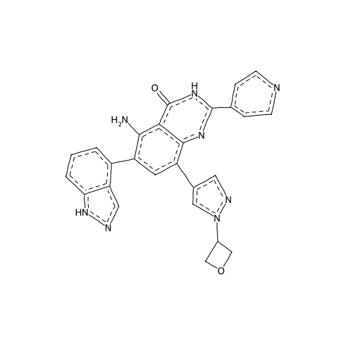 Nc1c(-c2cccc3[nH]ncc23)cc(-c2cnn(C3COC3)c2)c2nc(-c3ccncc3)[nH]c(=O)c12